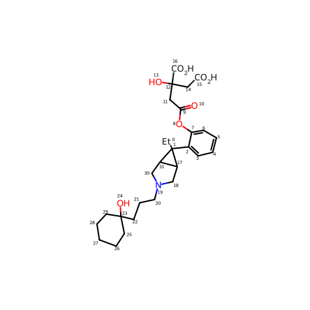 CCC1(c2ccccc2OC(=O)CC(O)(CC(=O)O)C(=O)O)C2CN(CCCC3(O)CCCCC3)CC21